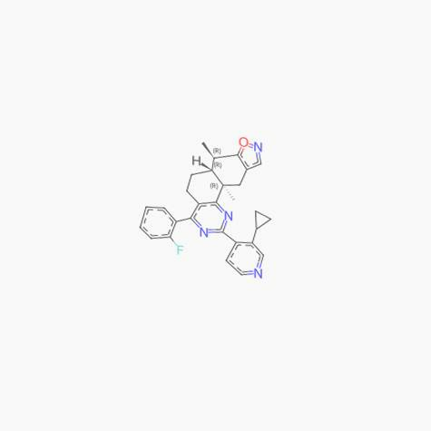 C[C@H]1c2oncc2C[C@@]2(C)c3nc(-c4ccncc4C4CC4)nc(-c4ccccc4F)c3CC[C@H]12